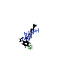 Clc1ccc(C2CCCN2c2ncnc(Nc3cc(C4CC4)[nH]n3)n2)cc1